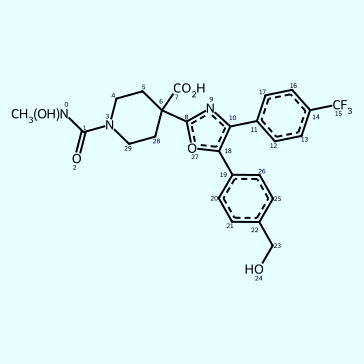 CN(O)C(=O)N1CCC(C(=O)O)(c2nc(-c3ccc(C(F)(F)F)cc3)c(-c3ccc(CO)cc3)o2)CC1